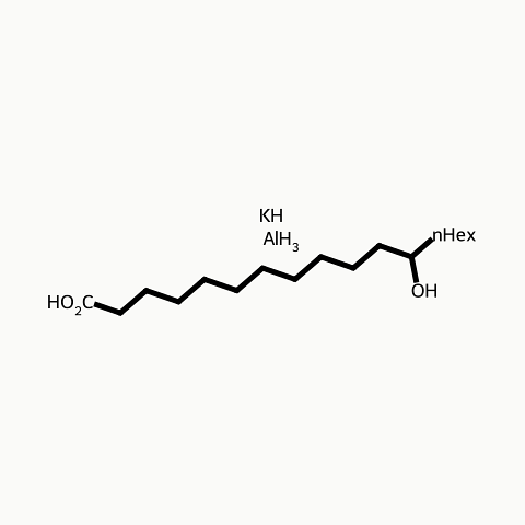 CCCCCCC(O)CCCCCCCCCCC(=O)O.[AlH3].[KH]